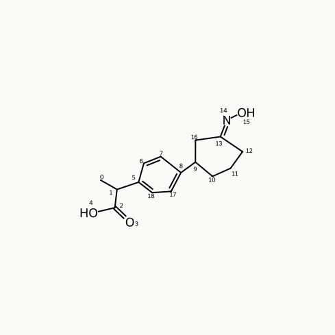 CC(C(=O)O)c1ccc(C2CCCC(=NO)C2)cc1